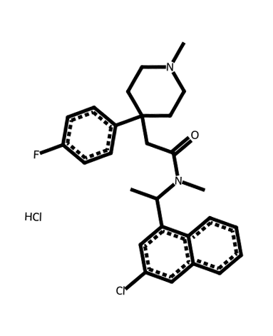 CC(c1cc(Cl)cc2ccccc12)N(C)C(=O)CC1(c2ccc(F)cc2)CCN(C)CC1.Cl